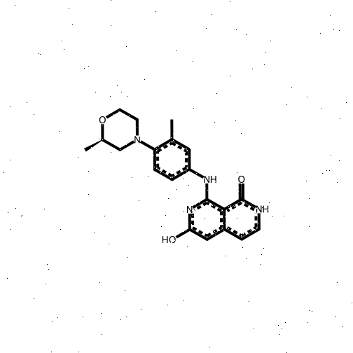 Cc1cc(Nc2nc(O)cc3cc[nH]c(=O)c23)ccc1N1CCO[C@H](C)C1